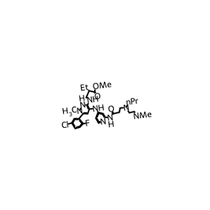 CCCN(CCNC)CCC(=O)Nc1cc(NC2=C(NCC(CC)C(=O)OC)NN(C)C(c3cc(Cl)ccc3F)=C2)ccn1